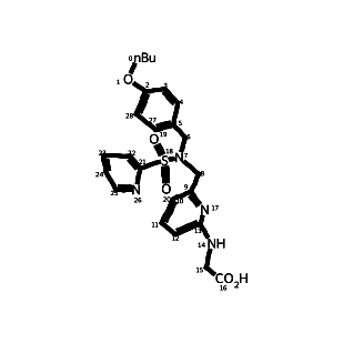 CCCCOc1ccc(CN(Cc2cccc(NCC(=O)O)n2)S(=O)(=O)c2ccccn2)cc1